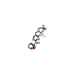 O=S1(=O)CCN(Cc2cnc(NC34CCC5CC(CC(C5)C3)C4)nc2C(F)(F)F)CC1